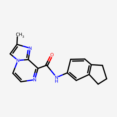 Cc1cn2ccnc(C(=O)Nc3ccc4c(c3)CCC4)c2n1